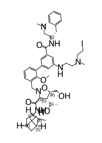 COc1c(CN2O[C@@H](CO)[C@H]([C@H](C)O)[C@H]2C(=O)N[C@H]2C[C@H]3C[C@@H]([C@@H]2C)C3(C)C)cccc1-c1cc(NCCN(C)CCI)cc(C(=O)N[C@@H](Cc2ccccc2)CN(C)C)c1